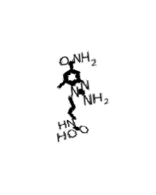 Cc1cc(C(N)=O)cc2nc(N)n(CCCCNC(=O)O)c12